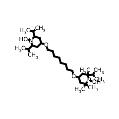 CC(C)C1CC(OCCCCCCCCOC2CC(C)(C)N(O)C(C)(C(C)C)C2)CC(C(C)C)N1O